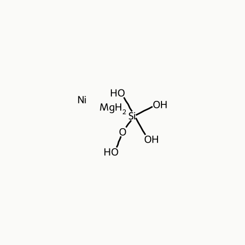 OO[Si](O)(O)O.[MgH2].[Ni]